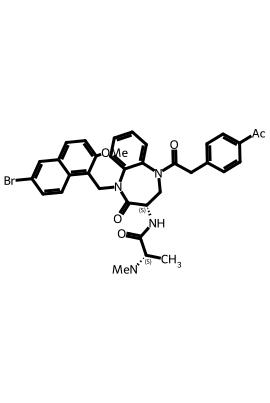 CN[C@@H](C)C(=O)N[C@H]1CN(C(=O)Cc2ccc(C(C)=O)cc2)c2ccccc2N(Cc2c(OC)ccc3cc(Br)ccc23)C1=O